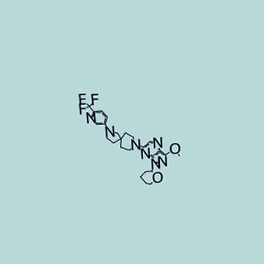 COc1nn(C2CCCCO2)c2nc(N3CCC4(CCN(c5ccc(C(F)(F)F)nc5)C4)CC3)cnc12